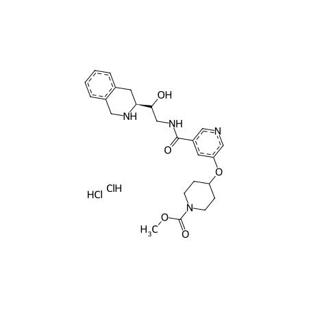 COC(=O)N1CCC(Oc2cncc(C(=O)NCC(O)[C@@H]3Cc4ccccc4CN3)c2)CC1.Cl.Cl